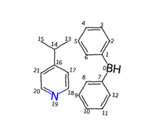 B(c1ccccc1)c1ccccc1.CC(C)c1ccncc1